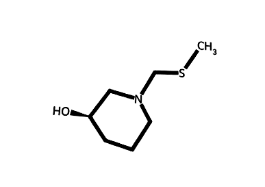 CSCN1CCC[C@@H](O)C1